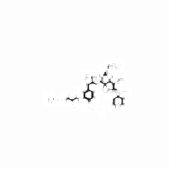 COCCCOc1cc(C[C@H](C[C@H](NC(=O)OC(C)(C)C)[C@H](O)C[C@H](C(=O)NC2CCOCC2)C(C)C)C(C)C)ccc1C